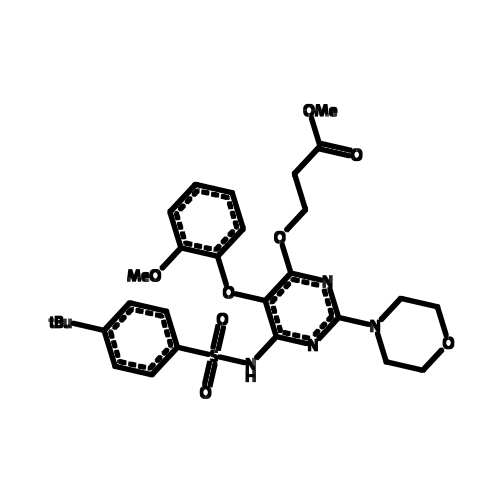 COC(=O)CCOc1nc(N2CCOCC2)nc(NS(=O)(=O)c2ccc(C(C)(C)C)cc2)c1Oc1ccccc1OC